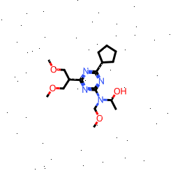 COCC(COC)c1nc(C2CCCC2)nc(N(COC)C(C)O)n1